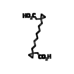 O=C(O)CC1(CCCCCCCCC2(CC(=O)O)CC2)CC1